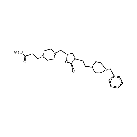 COC(=O)CCN1CCN(CC2CN(CCC3CCN(Cc4ccccc4)CC3)C(=O)O2)CC1